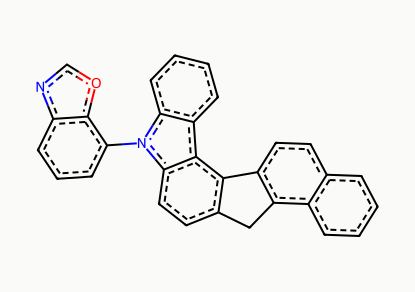 c1ccc2c3c(ccc2c1)-c1c(ccc2c1c1ccccc1n2-c1cccc2ncoc12)C3